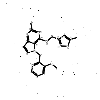 COc1cccnc1Cn1ccc2nc(C)nc(OCc3cc(C)on3)c21